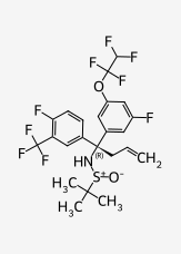 C=CC[C@](N[S+]([O-])C(C)(C)C)(c1cc(F)cc(OC(F)(F)C(F)F)c1)c1ccc(F)c(C(F)(F)F)c1